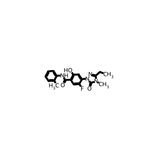 CCc1nn(-c2cc(O)c(C(=O)Nc3ccccc3C)cc2F)c(=O)n1C